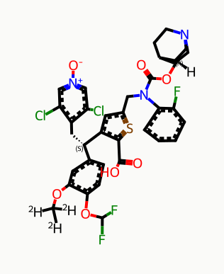 [2H]C([2H])([2H])Oc1cc([C@H](Cc2c(Cl)c[n+]([O-])cc2Cl)c2cc(CN(C(=O)O[C@H]3CN4CCC3CC4)c3ccccc3F)sc2C(=O)O)ccc1OC(F)F